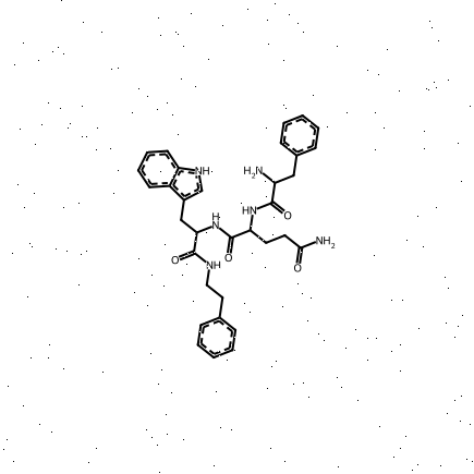 NC(=O)CCC(NC(=O)C(N)Cc1ccccc1)C(=O)NC(Cc1c[nH]c2ccccc12)C(=O)NCCc1ccccc1